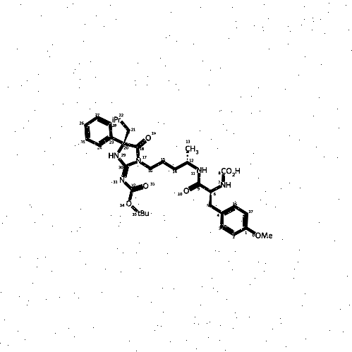 COc1ccc(C[C@H](NC(=O)O)C(=O)N[C@@H](C)CCCN2C(=O)[C@@](CC(C)C)(c3ccccc3)N/C2=N/C(=O)OC(C)(C)C)cc1